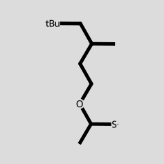 CC(CCOC(C)[S])CC(C)(C)C